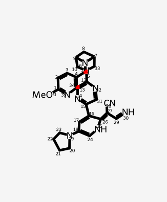 COc1ccc(CN2C3CC2CN(c2cnc(C4=CC(N5CCCC5)=CN/C4=C(/C#N)C=N)cn2)C3)cn1